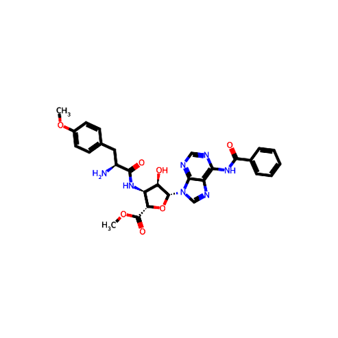 COC(=O)[C@H]1O[C@@H](n2cnc3c(NC(=O)c4ccccc4)ncnc32)[C@H](O)[C@@H]1NC(=O)[C@@H](N)Cc1ccc(OC)cc1